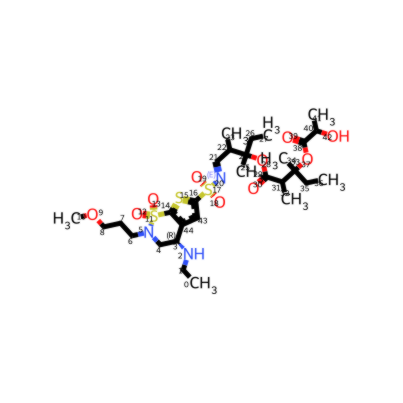 CCN[C@H]1CN(CCCOC)S(=O)(=O)c2sc(S(=O)(=O)/N=C/C(C)C(C)(CC)OC(=O)C(C)C(C)(CC)OC(=O)C(C)O)cc21